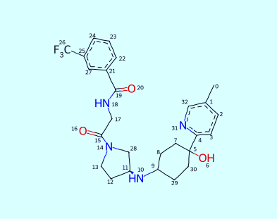 Cc1ccc(C2(O)CCC(N[C@H]3CCN(C(=O)CNC(=O)c4cccc(C(F)(F)F)c4)C3)CC2)nc1